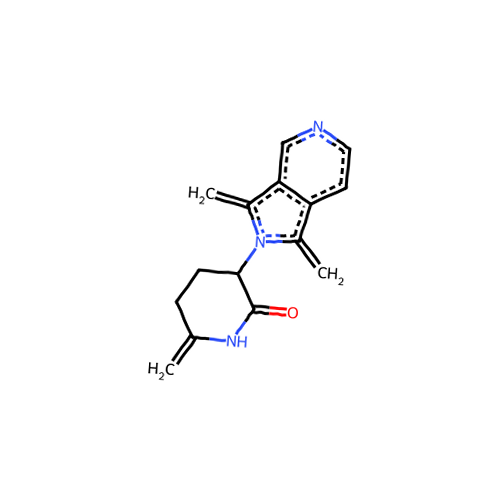 C=C1CCC(n2c(=C)c3ccncc3c2=C)C(=O)N1